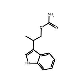 CC(COC(N)=O)c1c[nH]c2ccccc12